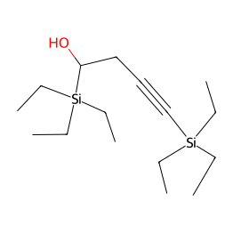 CC[Si](C#CCC(O)[Si](CC)(CC)CC)(CC)CC